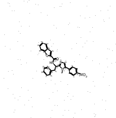 Cn1c(-c2ccc([N+](=O)[O-])cc2)cnc1C(Cc1ccccn1)NC(=O)c1cc2ccccc2o1